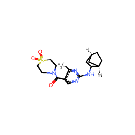 O=C(c1cnc(NC2C[C@H]3CC[C@@H]2C3)nc1C(F)(F)F)N1CCS(=O)(=O)CC1